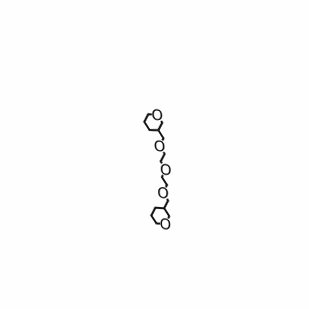 C1COCC(COCCOCCOCC2CCCOC2)C1